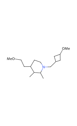 COCCC1CCN(CC2CC(OC)C2)C(C)C1C